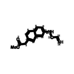 COC(=O)Cc1ccc2ccc(NOC=N)cc2c1